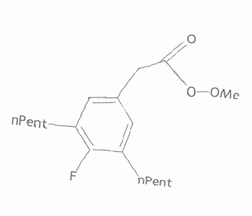 CCCCCc1cc(CC(=O)OOC)cc(CCCCC)c1F